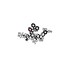 CC(C)(C)OC(=O)C1(O/N=C(\C(=O)NC2(C)C(=O)N3C(C(=O)O)=C(N4CCc5cc(O)c(O)cc5C4)CS[C@H]32)c2csc(NC(c3ccccc3)(c3ccccc3)c3ccccc3)n2)CC1